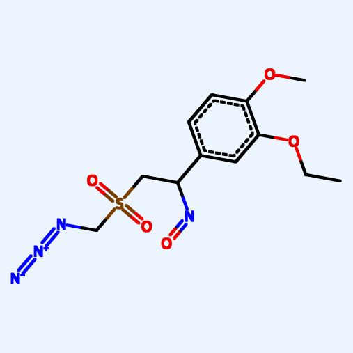 CCOc1cc(C(CS(=O)(=O)CN=[N+]=[N-])N=O)ccc1OC